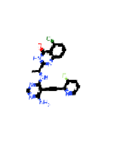 CC(Nc1ncnc(N)c1C#Cc1ncccc1F)c1nc2cccc(Cl)c2c(=O)[nH]1